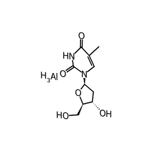 Cc1cn([C@H]2C[C@H](O)[C@@H](CO)O2)c(=O)[nH]c1=O.[AlH3]